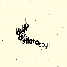 Cn1c(C(=O)Nc2cccc(-c3cccc(NC(=O)c4nc5c(n4C)CCN(C[C@H]4CC[C@H](C(=O)O)CC4)C5)c3C#N)c2Cl)nc2c1CCNC2